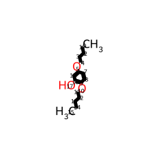 CCCCCOc1ccc(OCCCCC)c(O)c1